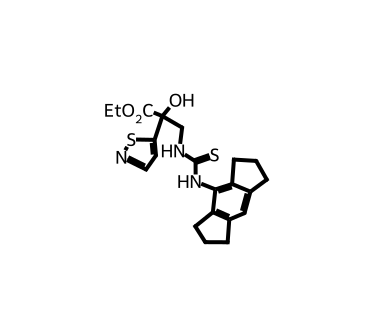 CCOC(=O)C(O)(CNC(=S)Nc1c2c(cc3c1CCC3)CCC2)c1ccns1